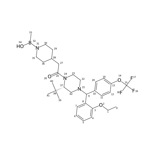 CCOc1ccccc1C(c1ccc(OC(F)(F)F)cc1)N1CCN(C(=O)CC2CCN(B(C)O)CC2)[C@@H](C(C)(C)C)C1